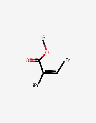 CC(C)C=C(C(=O)OC(C)C)C(C)C